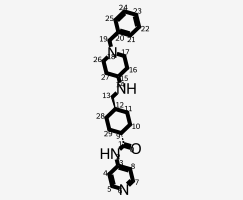 O=C(Nc1ccncc1)[C@H]1CC[C@H](CNC2CCN(Cc3ccccc3)CC2)CC1